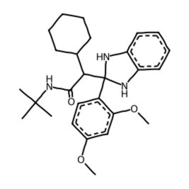 COc1ccc(C2(C(C(=O)NC(C)(C)C)C3CCCCC3)Nc3ccccc3N2)c(OC)c1